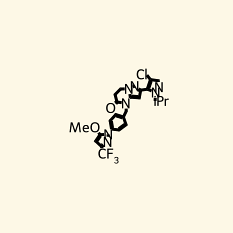 COc1cc(C(F)(F)F)nn1-c1ccc(CN2C(=O)CCn3nc(-c4c(Cl)cnn4C(C)C)cc32)cc1